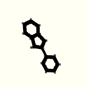 [c]1ccc2cc(-c3ccccc3)oc2c1